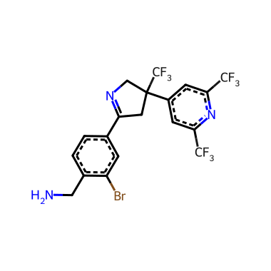 NCc1ccc(C2=NCC(c3cc(C(F)(F)F)nc(C(F)(F)F)c3)(C(F)(F)F)C2)cc1Br